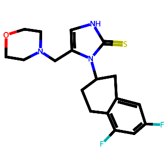 Fc1cc(F)c2c(c1)CC(n1c(CN3CCOCC3)c[nH]c1=S)CC2